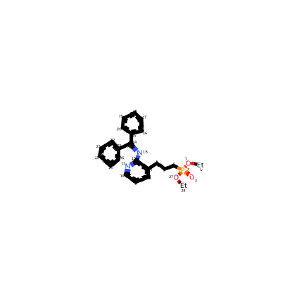 CCOP(=O)(CCCc1cccnc1N=C(c1ccccc1)c1ccccc1)OCC